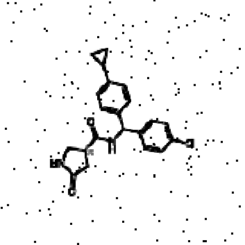 O=C1C[C@H](C(=O)NC(c2ccc(Cl)cc2)c2ccc(C3CC3)cc2)CN1